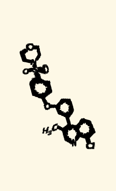 Cc1cnc2c(Cl)cccc2c1-c1cccc(Oc2ccc(S(=O)(=O)N3CCOCC3)cc2)c1